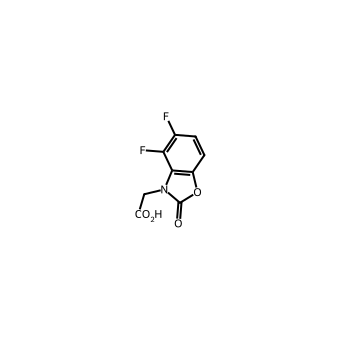 O=C(O)Cn1c(=O)oc2ccc(F)c(F)c21